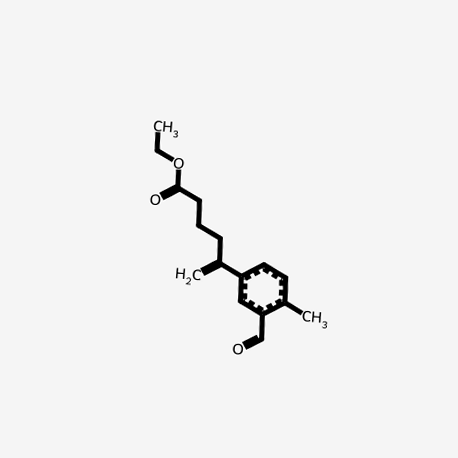 C=C(CCCC(=O)OCC)c1ccc(C)c(C=O)c1